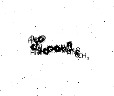 COC(=O)NCC(=O)N1CCC[C@H]1c1ncc(-c2ccc(-c3ccc4cc(-c5c[nH]c([C@@H]6CCCN6C(=O)[C@@H](NC=O)C6CCOCC6)n5)ccc4c3)cc2)[nH]1